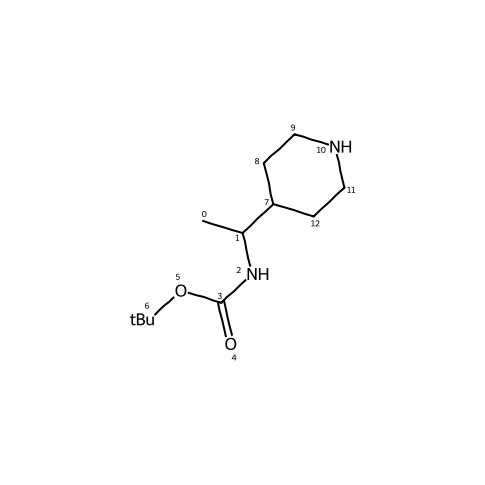 CC(NC(=O)OC(C)(C)C)C1CCNCC1